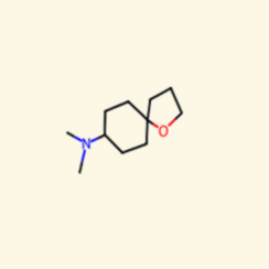 CN(C)C1CCC2(CCCO2)CC1